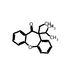 CCC1(C(C)C)C(=O)c2ccccc2Oc2ccccc21